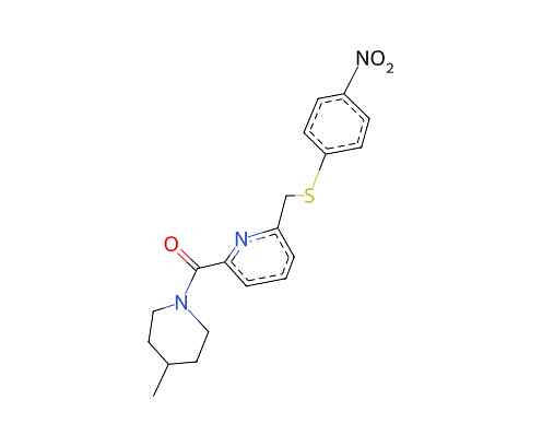 CC1CCN(C(=O)c2cccc(CSc3ccc([N+](=O)[O-])cc3)n2)CC1